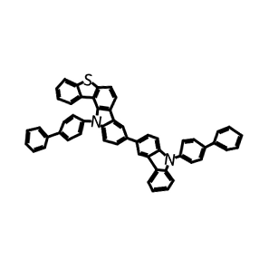 c1ccc(-c2ccc(-n3c4ccccc4c4cc(-c5ccc6c(c5)c5ccc7sc8ccccc8c7c5n6-c5ccc(-c6ccccc6)cc5)ccc43)cc2)cc1